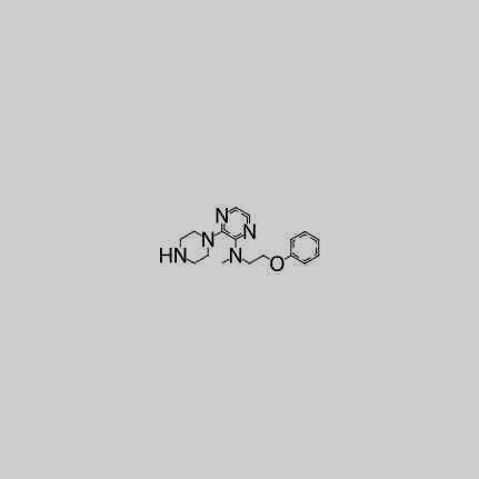 CN(CCOc1ccccc1)c1nccnc1N1CCNCC1